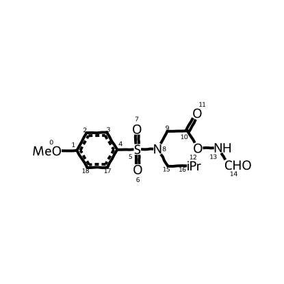 COc1ccc(S(=O)(=O)N(CC(=O)ONC=O)CC(C)C)cc1